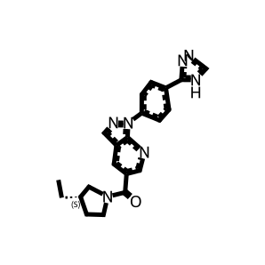 CC[C@H]1CCN(C(=O)c2cnc3c(cnn3-c3ccc(-c4nnc[nH]4)cc3)c2)C1